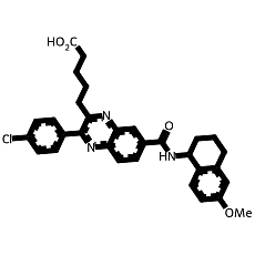 COc1ccc2c(c1)CCCC2NC(=O)c1ccc2nc(-c3ccc(Cl)cc3)c(CCCCC(=O)O)nc2c1